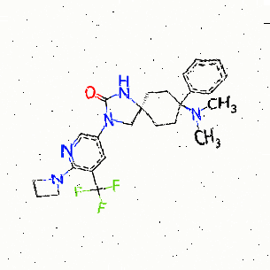 CN(C)[C@]1(c2ccccc2)CC[C@]2(CC1)CN(c1cnc(N3CCC3)c(C(F)(F)F)c1)C(=O)N2